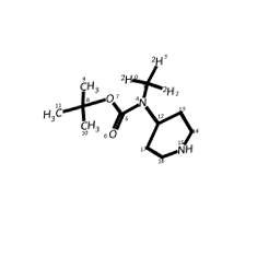 [2H]C([2H])([2H])N(C(=O)OC(C)(C)C)C1CCNCC1